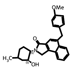 COc1ccc(Cc2cc3c(c4ccccc24)CN([C@H]2CCC(C)C[C@@H]2O)C3=O)cc1